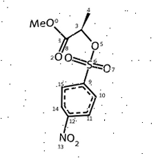 COC(=O)[C@@H](C)OS(=O)(=O)c1ccc([N+](=O)[O-])cc1